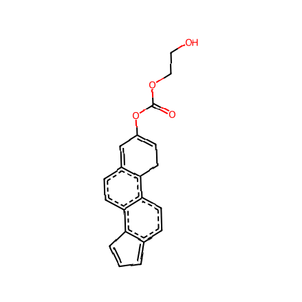 O=C(OCCO)OC1=CCc2c(ccc3c4c(ccc23)=CC=C4)=C1